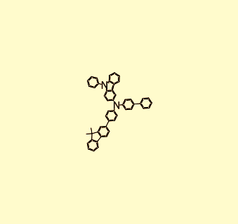 CC1(C)c2ccccc2-c2ccc(-c3ccc(N(c4ccc(-c5ccccc5)cc4)c4ccc5c(c4)c4ccccc4n5-c4ccccc4)cc3)cc21